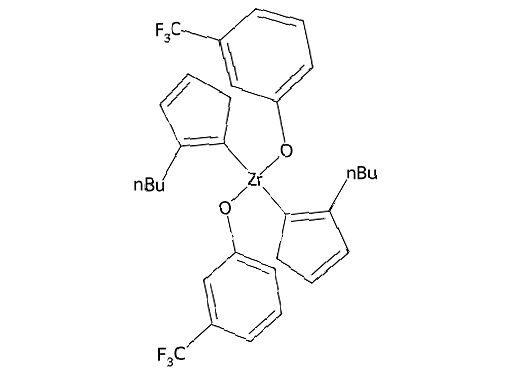 CCCCC1=[C]([Zr]([O]c2cccc(C(F)(F)F)c2)([O]c2cccc(C(F)(F)F)c2)[C]2=C(CCCC)C=CC2)CC=C1